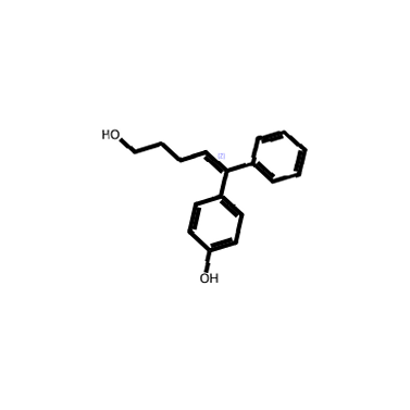 OCCC/C=C(/c1ccccc1)c1ccc(O)cc1